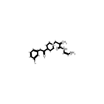 C=C(CN1CCC(C(=O)Cc2cccc(F)c2)CC1)C(=O)N/C=C\N